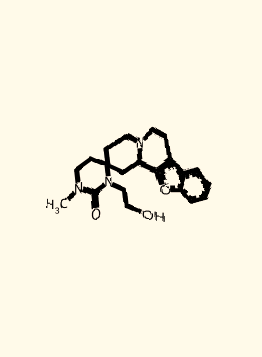 CN1CCC2(CCN3CCc4c(oc5ccccc45)C3C2)N(CCO)C1=O